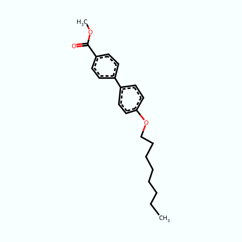 CCCCCCCCOc1ccc(-c2ccc(C(=O)OC)cc2)cc1